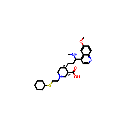 CNC(CC[C@@H]1CCN(CCSC2CCCCC2)C[C@@H]1C(=O)O)c1ccnc2ccc(OC)cc12